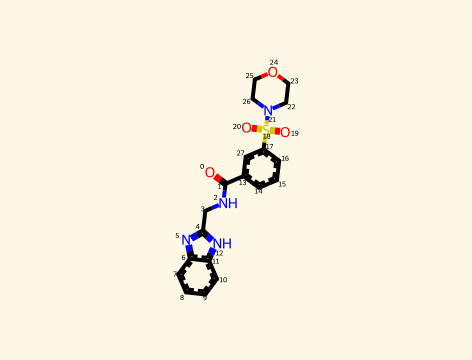 O=C(NCc1nc2ccccc2[nH]1)c1cccc(S(=O)(=O)N2CCOCC2)c1